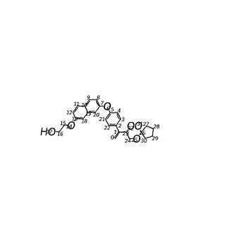 C=C(c1ccc(Oc2ccc3ccc(OCCO)cc3c2)cc1)C1COC2(CCCC2)OO1